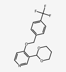 FC(F)(F)c1ccc(COc2ccncc2C2OCCCO2)cc1